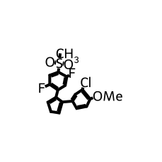 COc1ccc(C2=CCC=C2c2cc(F)c(S(C)(=O)=O)cc2F)cc1Cl